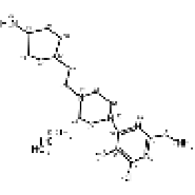 Cl.Cl.NCc1nc(Cl)c(Cl)c(N2CCN(CCC3CCC(N)CC3)CC2)n1.O